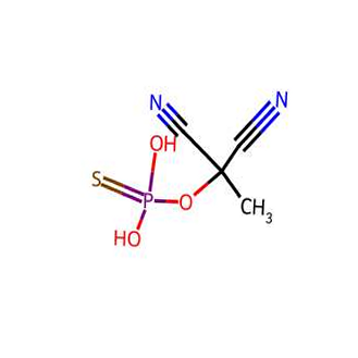 CC(C#N)(C#N)OP(O)(O)=S